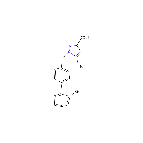 CCCCc1cc(C(=O)O)nn1Cc1ccc(-c2ccccc2C#N)cc1